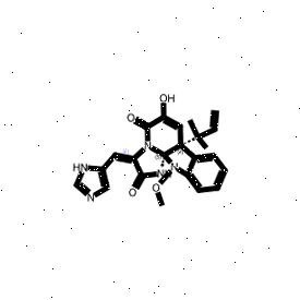 C=CC(C)(C)[C@@]12C=C(O)C(=O)N3/C(=C/c4cnc[nH]4)C(=O)N[C@]31N(OC)c1ccccc12